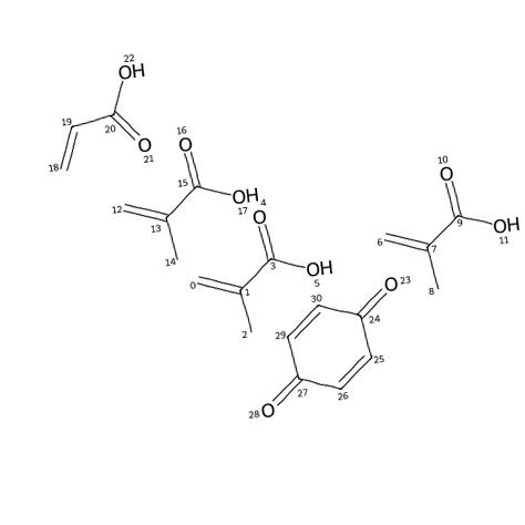 C=C(C)C(=O)O.C=C(C)C(=O)O.C=C(C)C(=O)O.C=CC(=O)O.O=C1C=CC(=O)C=C1